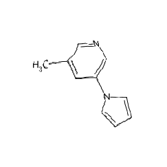 Cc1cncc(-n2cccc2)c1